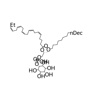 CC/C=C\C/C=C\C/C=C\C/C=C\C/C=C\CCCC(=O)O[C@H](COCCCCCCCCCCCCCCCCCC)COP(=O)(O)OC1C(O)C(O)C(O)[C@@H](O)C1O